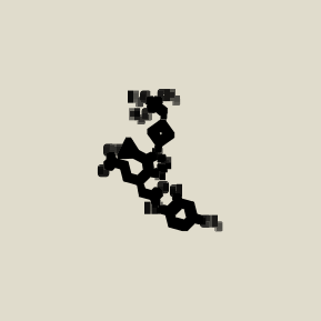 Cc1ccc(NC(=O)C[C@@H](CCC(=O)O)c2nnn([C@H]3C[C@H](CC(C)(C)C)C3)c2C2CC2)c(Cl)c1